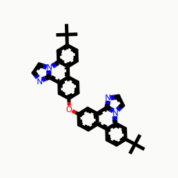 CC(C)(C)c1ccc2c3ccc(Oc4ccc5c6ccc(C(C)(C)C)cc6n6ccnc6c5c4)cc3c3nccn3c2c1